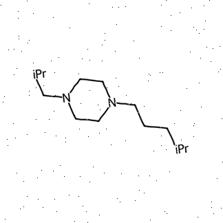 CC(C)CCCN1CCN(CC(C)C)CC1